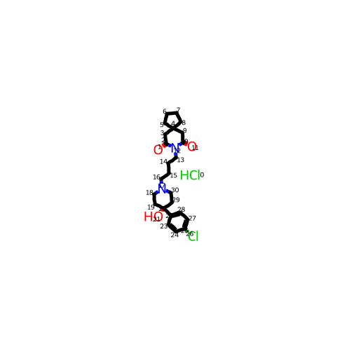 Cl.O=C1CC2(CCCC2)CC(=O)N1CCCCN1CCC(O)(c2ccc(Cl)cc2)CC1